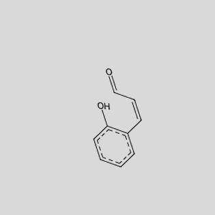 O=C/C=C\c1ccccc1O